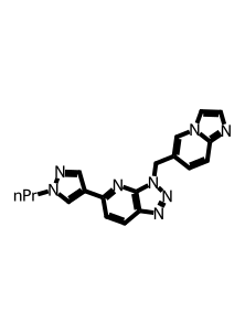 CCCn1cc(-c2ccc3nnn(Cc4ccc5nccn5c4)c3n2)cn1